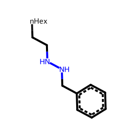 CCCCCCCCNNCc1ccccc1